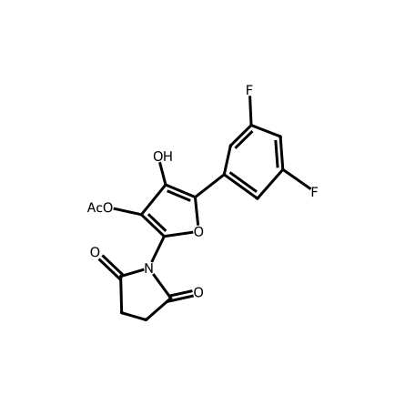 CC(=O)Oc1c(N2C(=O)CCC2=O)oc(-c2cc(F)cc(F)c2)c1O